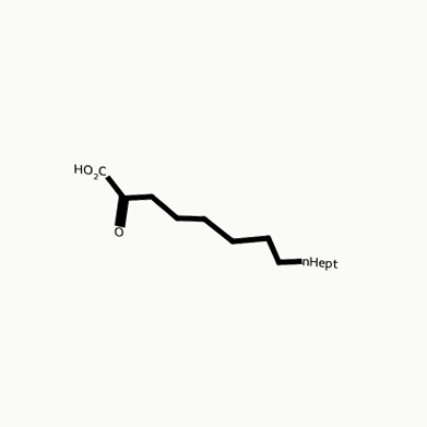 CCCCCCCCCCCCCC(=O)C(=O)O